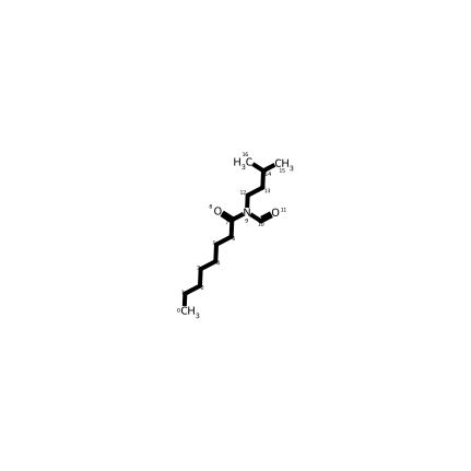 CCCCCCCC(=O)N(C=O)CCC(C)C